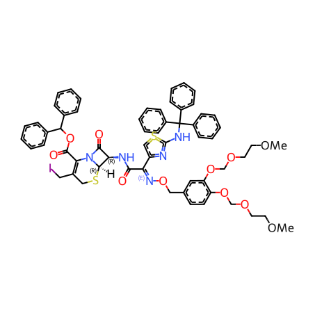 COCCOCOc1ccc(CO/N=C(/C(=O)N[C@@H]2C(=O)N3C(C(=O)OC(c4ccccc4)c4ccccc4)=C(CI)CS[C@H]23)c2csc(NC(c3ccccc3)(c3ccccc3)c3ccccc3)n2)cc1OCOCCOC